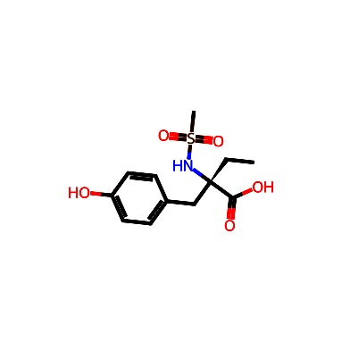 CC[C@@](Cc1ccc(O)cc1)(NS(C)(=O)=O)C(=O)O